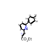 CCOC(=O)/C=C/c1cccc(-c2ccc(C)cc2)n1